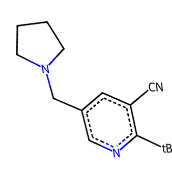 CC(C)(C)c1ncc(CN2CCCC2)cc1C#N